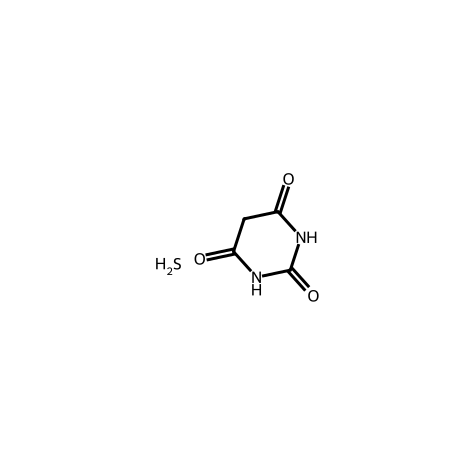 O=C1CC(=O)NC(=O)N1.S